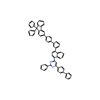 c1ccc(-c2ccc(-c3cc(-c4ccc(-c5cccc(-c6ccc(-c7ccc8c(c7)-c7ccccc7C8(c7ccccc7)c7ccccc7)cc6)c5)c5ccccc45)nc(-c4ccccc4)n3)cc2)cc1